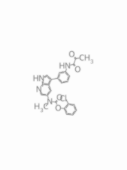 CC(=O)C(=O)Nc1cccc(-c2c[nH]c3ncc(N(C)C(=O)Oc4ccccc4Cl)cc23)c1